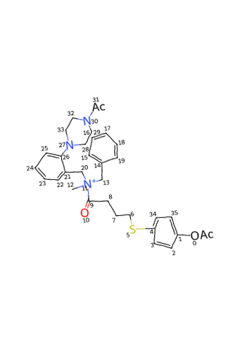 CC(=O)Oc1ccc(SCCCC(=O)[N+](C)(Cc2ccccc2)Cc2ccccc2N2CCN(C(C)=O)CC2)cc1